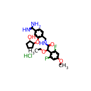 CCOC(C(=O)NCc1ccc(C(=N)N)cc1OC1CCC[C@@H]1O)c1c(F)cc(OC)cc1F.Cl